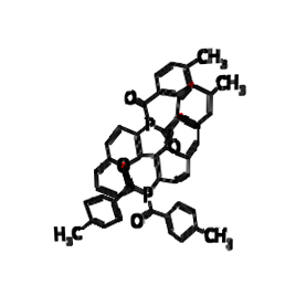 Cc1ccc(C(=O)P(C(=O)c2ccc(C)cc2)c2ccc3ccccc3c2-c2c(P(C(=O)c3ccc(C)cc3)C(=O)c3ccc(C)cc3)ccc3ccccc23)cc1